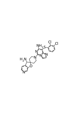 Nc1nc(N2CCC3(CC2)Oc2cnccc2C3N)n2ccnc2c1Sc1cccc(Cl)c1Cl